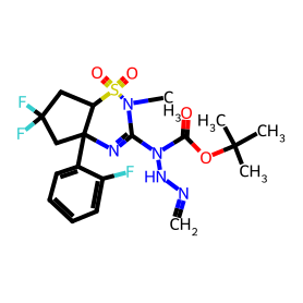 C=NNN(C(=O)OC(C)(C)C)C1=NC2(c3ccccc3F)CC(F)(F)CC2S(=O)(=O)N1C